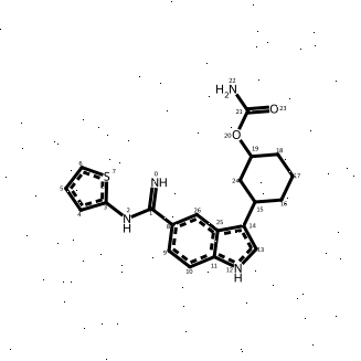 N=C(Nc1cccs1)c1ccc2[nH]cc(C3CCCC(OC(N)=O)C3)c2c1